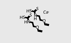 C=COCCNC(=S)S.C=COCCNC(=S)S.[Ca]